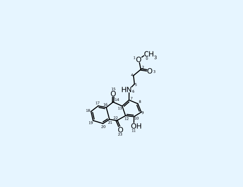 COC(=O)CCNc1ccc(O)c2c1C(=O)c1ccccc1C2=O